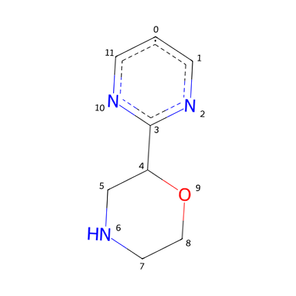 [c]1cnc(C2CNCCO2)nc1